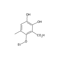 CCOc1c(C)cc(O)c(O)c1C(=O)O